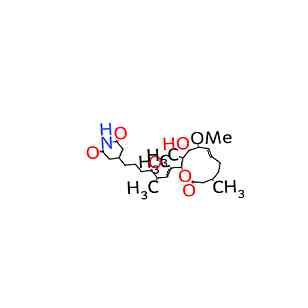 COC1/C=C/CCC(C)CC(=O)OC(/C(C)=C/C(C)C(=O)CCCC2CC(=O)NC(=O)C2)C(C)C1O